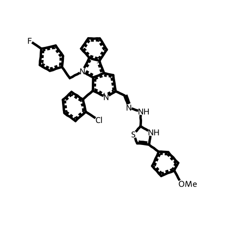 COc1ccc(C2=CSC(NN=Cc3cc4c5ccccc5n(Cc5ccc(F)cc5)c4c(-c4ccccc4Cl)n3)N2)cc1